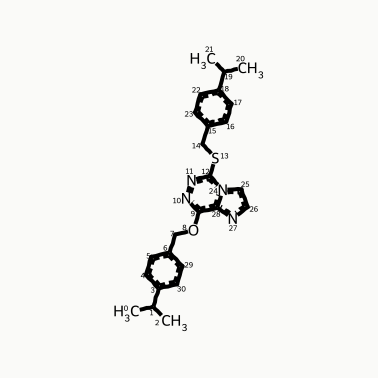 CC(C)c1ccc(COc2nnc(SCc3ccc(C(C)C)cc3)n3ccnc23)cc1